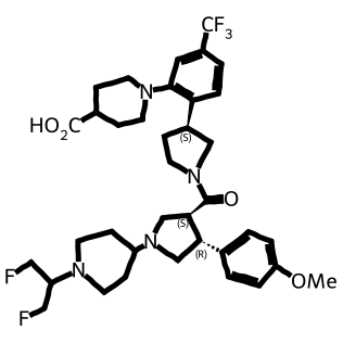 COc1ccc([C@@H]2CN(C3CCN(C(CF)CF)CC3)C[C@H]2C(=O)N2CC[C@@H](c3ccc(C(F)(F)F)cc3N3CCC(C(=O)O)CC3)C2)cc1